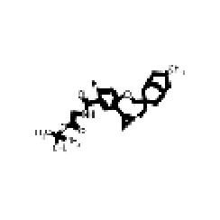 CCC1(COc2cc(F)c(C(=O)NCC(=O)OC(C)(C)C)cc2C2CC2)CC2CC(C)CC(C2)C1